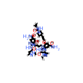 CCn1nc(C)cc1C(=O)Nc1nc2cc(C(N)=O)cc(OC)c2n1C/C=C/Cn1c(NC(=O)c2cc(C)nn2CC)nc2cc(C(N)=O)cc(OCC#CC3CCN(C(=O)NC4CC4)CC3)c21